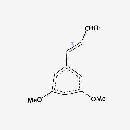 COc1cc(/C=C/[C]=O)cc(OC)c1